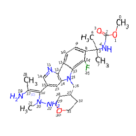 COC(=O)NC(C)(C)c1ccc2c3ncc(/C(=C(\C)N)N(C)N)cc3n(CC3CCOCC3)c2c1F